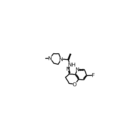 C=C(N/N=C1/CCOc2cc(F)cnc21)N1CCN(C)CC1